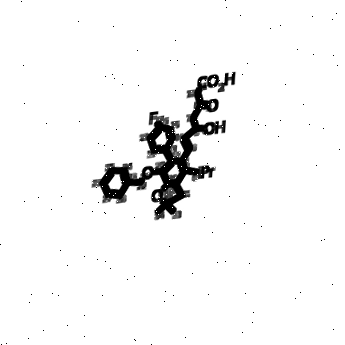 CC(C)c1c(/C=C/C(O)CC(=O)CC(=O)O)c(-c2ccc(F)cc2)c(OCc2ccccc2)c2c1CC(C)(C)O2